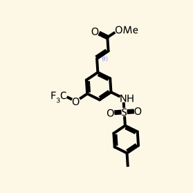 COC(=O)/C=C/c1cc(NS(=O)(=O)c2ccc(C)cc2)cc(OC(F)(F)F)c1